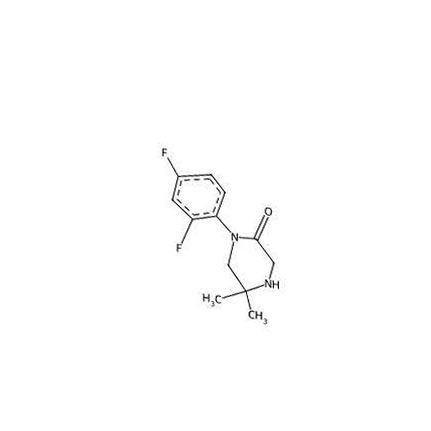 CC1(C)CN(c2ccc(F)cc2F)C(=O)CN1